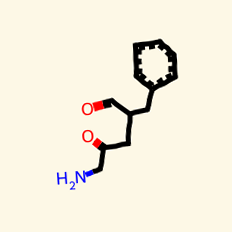 NCC(=O)CC(C=O)Cc1ccccc1